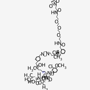 COc1ccc(CC(NC(=O)/C=C/CC[C@H](C)[C@@H](O)Cc2ccc(CN3CCN(CCC(C)(C)SSc4ccccc4CC(=O)NCCCOCCOCCOCCCNC(=O)CCN4C(=O)C=CC4=O)CC3)cc2)C(=O)NCC(C)(C)C(=O)N[C@@H](CC(C)C)C(=O)O)cc1Cl